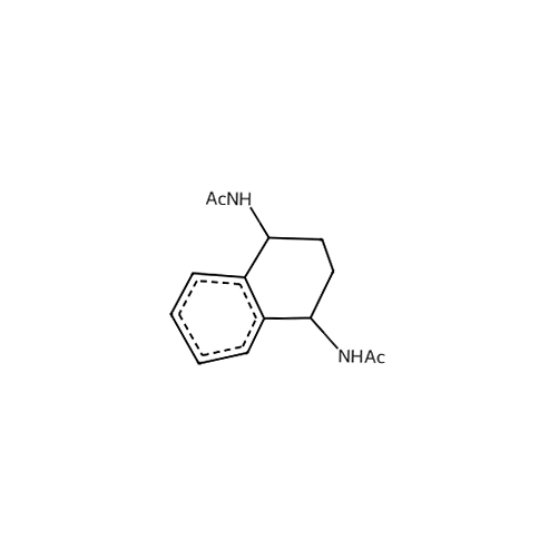 CC(=O)NC1CCC(NC(C)=O)c2ccccc21